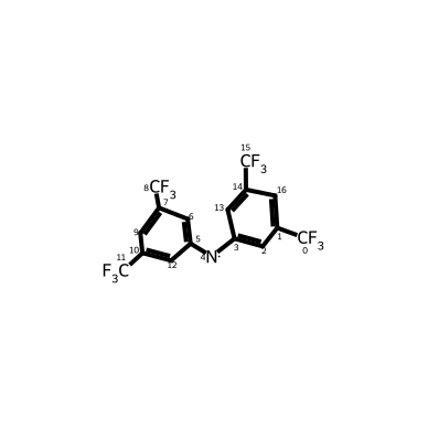 FC(F)(F)c1cc([N]c2cc(C(F)(F)F)cc(C(F)(F)F)c2)cc(C(F)(F)F)c1